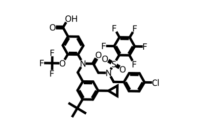 CC(C)(C)c1cc(CN(C(=O)CN(Cc2ccc(Cl)cc2)S(=O)(=O)c2c(F)c(F)c(F)c(F)c2F)c2ccc(C(=O)O)cc2OC(F)(F)F)cc(C2CC2)c1